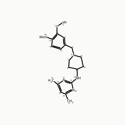 CCCOc1cc(CN2CCC(Nc3nc(C)cc(C)n3)CC2)ccc1OC